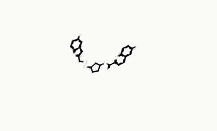 O=C(NC1CCC(NNCc2cc3cc(Cl)ccc3o2)C1)c1ccc2cc(Cl)ccc2n1